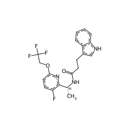 C[C@@H](NC(=O)CCc1c[nH]c2ccccc12)c1nc(OCC(F)(F)F)ccc1F